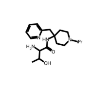 CC(O)C(N)C(=O)NC1(Cc2ccccn2)CCN(C(C)C)CC1